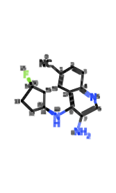 N#Cc1ccc2ncc(N)c(N[C@H]3CC[C@@H](F)C3)c2c1